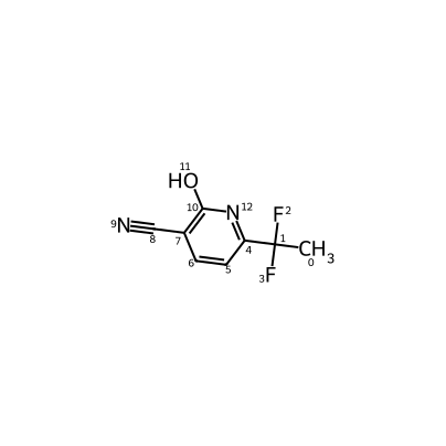 CC(F)(F)c1ccc(C#N)c(O)n1